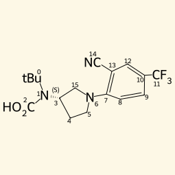 CC(C)(C)N(C(=O)O)[C@H]1CCN(c2ccc(C(F)(F)F)cc2C#N)C1